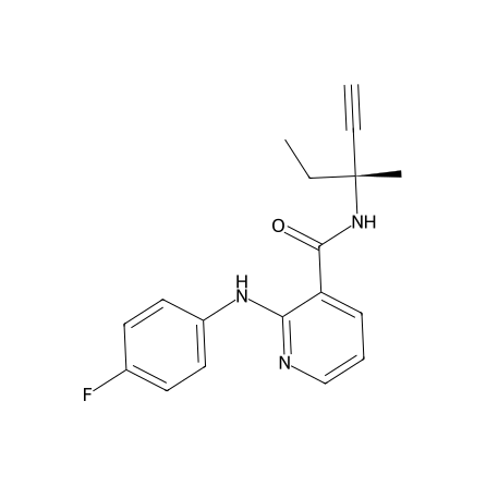 C#C[C@@](C)(CC)NC(=O)c1cccnc1Nc1ccc(F)cc1